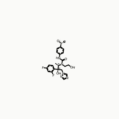 C[C@@H](N(CCO)C(=O)Nc1ccc([N+](=O)[O-])cc1)[C@](O)(Cn1cncn1)c1ccc(F)cc1F